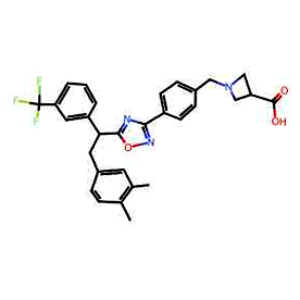 Cc1ccc(CC(c2cccc(C(F)(F)F)c2)c2nc(-c3ccc(CN4CC(C(=O)O)C4)cc3)no2)cc1C